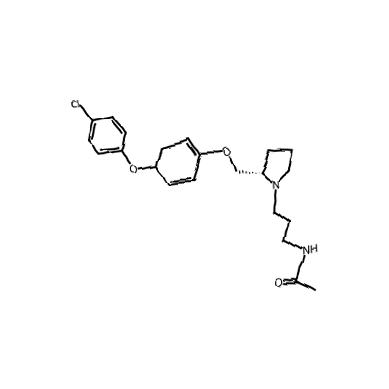 CC(=O)NCCCN1CCC[C@H]1COC1=CCC(Oc2ccc(Cl)cc2)C=C1